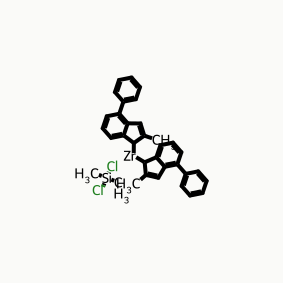 CC1=Cc2c(-c3ccccc3)cccc2[CH]1[Zr][CH]1C(C)=Cc2c(-c3ccccc3)cccc21.C[Si](C)(Cl)Cl